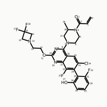 C=CC(=O)N1CCN(c2nc(OCCN3CC(F)(F)C3)nc3c(F)c(-c4c(O)cccc4F)c(Cl)cc23)CC1C